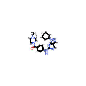 CN1CCN(C(=O)c2ccc(Nc3ncc4cnn(C5CCCCC5)c4n3)cc2)CC1